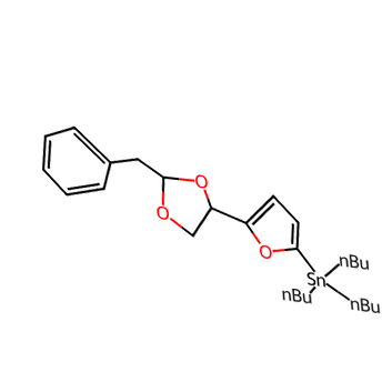 CCC[CH2][Sn]([CH2]CCC)([CH2]CCC)[c]1ccc(C2COC(Cc3ccccc3)O2)o1